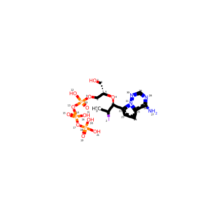 CC(I)[C@@H](O[C@@H](CO)COP(=O)(O)OP(=O)(O)OP(=O)(O)O)c1ccc2c(N)ncnn12